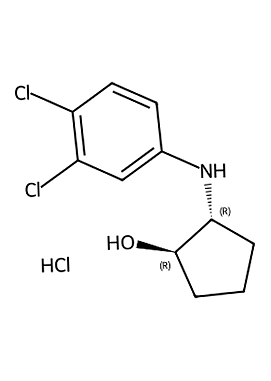 Cl.O[C@@H]1CCC[C@H]1Nc1ccc(Cl)c(Cl)c1